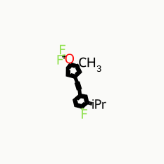 Cc1cc(C#Cc2ccc(F)c(C(C)C)c2)ccc1OC(F)F